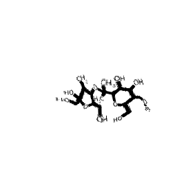 CC(C)OC1C(CO)OC(C(C)(C)OC2C(CO)OC(O)(CO)C2C)C(O)C1O